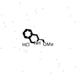 COC[C@@H]1Cc2ccccc2CN1.Cl